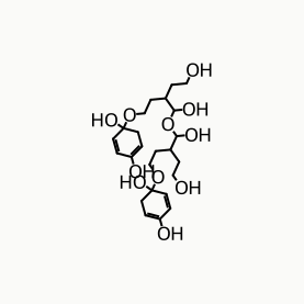 OCCC(CCOC1(O)C=CC(O)=CC1)C(O)OC(O)C(CCO)CCOC1(O)C=CC(O)=CC1